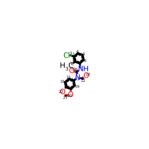 Cc1c(Cl)cccc1NC(=O)N(C=O)c1ccc2c(c1)OCO2